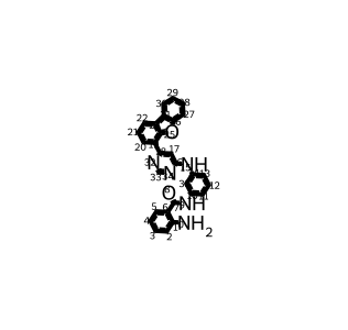 Nc1ccccc1C(=O)Nc1cccc(Nc2cc(-c3cccc4c3oc3ccccc34)ncn2)c1